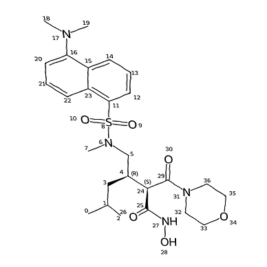 CC(C)C[C@@H](CN(C)S(=O)(=O)c1cccc2c(N(C)C)cccc12)[C@H](C(=O)NO)C(=O)N1CCOCC1